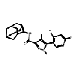 Cc1c(C(=O)NC2C3CC4CC(C3)CC2C4)nn(C)c1-c1ccc(F)cc1F